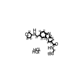 CC(C)(C)CNC(=O)c1cn2c(nc3ccc(CN[C@@H]4CCOC4)cc32)s1.Cl.Cl